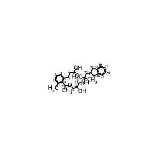 Cc1cccc(CCC(=O)O)c1C(C)OC[C@H](O)CNC(C)(C)CC1Cc2ccccc2C1